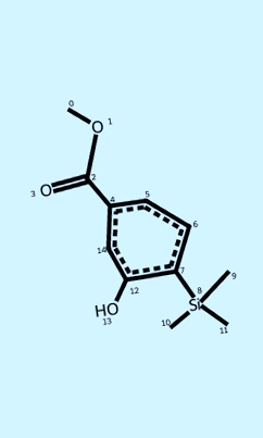 COC(=O)c1ccc([Si](C)(C)C)c(O)c1